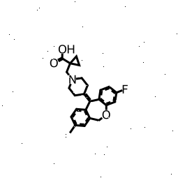 Cc1ccc2c(c1)COc1cc(F)ccc1C2=C1CCN(CC2(C(=O)O)CC2)CC1